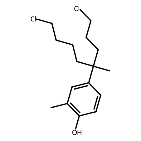 Cc1cc(C(C)(CCCCl)CCCCCl)ccc1O